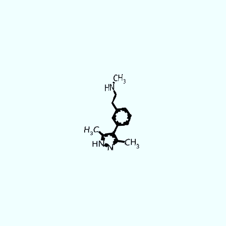 CNCCc1cccc(-c2c(C)n[nH]c2C)c1